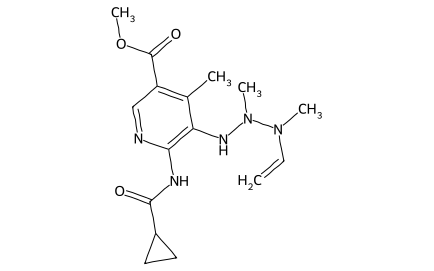 C=CN(C)N(C)Nc1c(NC(=O)C2CC2)ncc(C(=O)OC)c1C